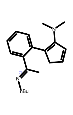 CCCC/N=C(\C)c1ccccc1C1=C(N(C)C)C=CC1